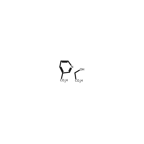 O=C(O)CO.O=C(O)c1cccnc1